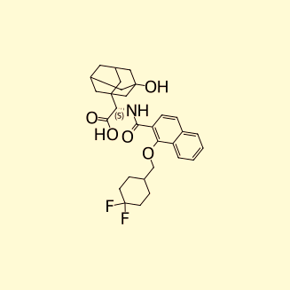 O=C(N[C@H](C(=O)O)C12CC3CC(CC(O)(C3)C1)C2)c1ccc2ccccc2c1OCC1CCC(F)(F)CC1